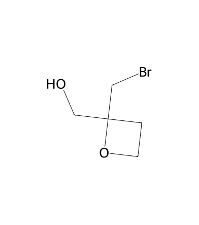 OCC1(CBr)CCO1